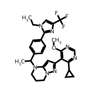 CCn1cc(C(F)(F)F)nc1-c1ccc(C(C)N2CCCn3nc(-c4c(OC)ncnc4C4CC4)cc32)cc1